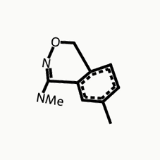 CNC1=NOCc2ccc(C)cc21